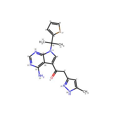 Cc1cc(CC(=O)c2cn(C(C)(C)c3cccs3)c3ncnc(N)c23)n[nH]1